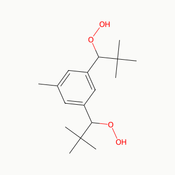 Cc1cc(C(OO)C(C)(C)C)cc(C(OO)C(C)(C)C)c1